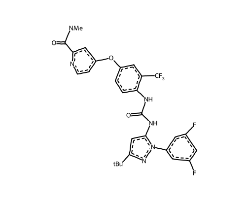 CNC(=O)c1cc(Oc2ccc(NC(=O)Nc3cc(C(C)(C)C)nn3-c3cc(F)cc(F)c3)c(C(F)(F)F)c2)ccn1